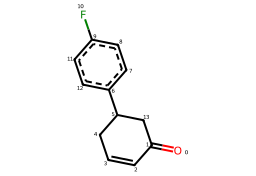 O=C1C=CCC(c2ccc(F)cc2)C1